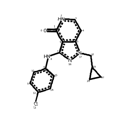 O=c1[nH]ccc2c1c(Nc1ccc(Cl)cc1)nn2CC1CC1